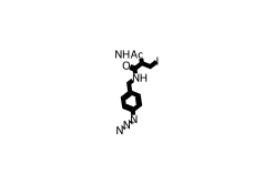 CC(=O)NC(CI)C(=O)NCc1ccc(N=[N+]=[N-])cc1